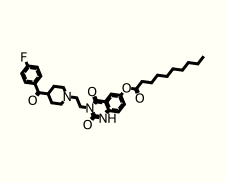 CCCCCCCCCC(=O)Oc1ccc2[nH]c(=O)n(CCN3CCC(C(=O)c4ccc(F)cc4)CC3)c(=O)c2c1